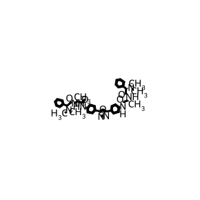 C[C@H](NC(=O)[C@H](c1ccccc1)N(C)C)C(=O)Nc1ccc(-c2nnc(-c3ccc(NC(=O)[C@H](C)NC(=O)[C@H](c4ccccc4)N(C)C)cc3)o2)cc1